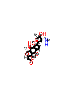 CNC[C@@H]1CC(c2ccc3c(c2O)C(=O)C2=C(C3=O)[C@H]3OC(=O)C[C@H]3O[C@@H]2C)O[C@H](C)[C@H]1O